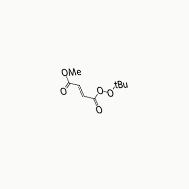 COC(=O)/C=C/C(=O)OOC(C)(C)C